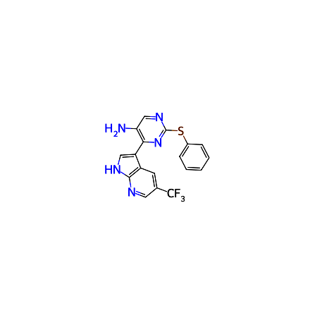 Nc1cnc(Sc2ccccc2)nc1-c1c[nH]c2ncc(C(F)(F)F)cc12